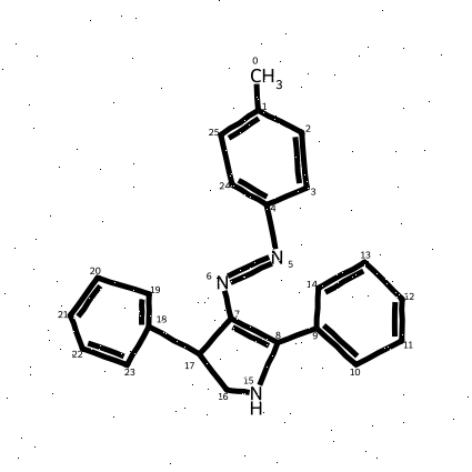 Cc1ccc(N=NC2=C(c3ccccc3)NCC2c2ccccc2)cc1